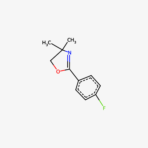 CC1(C)COC(c2ccc(F)cc2)=N1